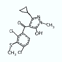 CSc1c(Cl)ccc(C(=O)c2c(C3CC3)nn(C)c2O)c1Cl